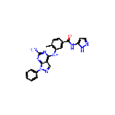 Cc1ccc(C(=O)Nc2ccn[nH]2)cc1Nc1nc(N)nc2c1cnn2-c1ccccc1